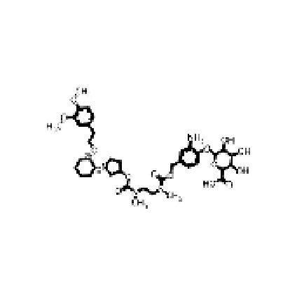 COc1ccc(CCO[C@H]2CCCC[C@H]2N2CCC(OC(=O)N(C)CCN(C)C(=O)OCc3ccc(OC4OC(C(=O)O)C(O)C(O)C4O)c(N)c3)C2)cc1OC